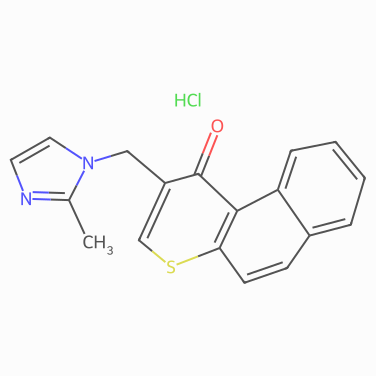 Cc1nccn1Cc1csc2ccc3ccccc3c2c1=O.Cl